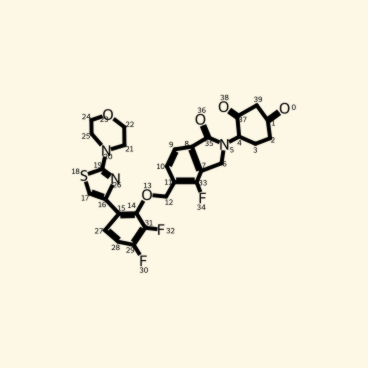 O=C1CCC(N2Cc3c(ccc(COc4c(-c5csc(N6CCOCC6)n5)ccc(F)c4F)c3F)C2=O)C(=O)C1